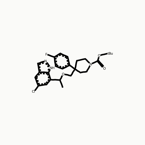 CC(OCC1(c2ccc(F)cc2)CCN(C(=O)OC(C)(C)C)CC1)c1cc(Cl)cc2cn[nH]c12